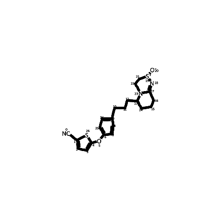 N#Cc1ccc(Oc2ccc(CCCC3CCCC4=N[S+]([O-])CCN43)cc2)s1